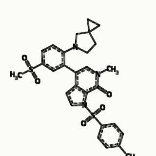 Cc1ccc(S(=O)(=O)n2ccc3c(-c4cc(S(C)(=O)=O)ccc4N4CCC5(CC5)C4)cn(C)c(=O)c32)cc1